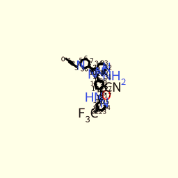 CC#CCN1CCCC(c2nc(-c3ccc(C(=O)Nc4cc(C(F)(F)F)ccn4)c(C#N)c3)n3c(N)nccc23)C1